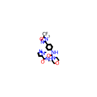 Cn1nccc1C(=O)NC[C@H]1COCCN1C(=O)Nc1ccc(-c2noc(C(F)(F)F)n2)cc1